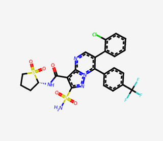 NS(=O)(=O)c1nn2c(-c3ccc(C(F)(F)F)cc3)c(-c3ccccc3Cl)cnc2c1C(=O)N[C@@H]1CCCS1(=O)=O